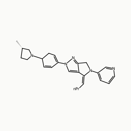 CCCC=C1c2cn(C3=CCC(N4CC[C@H](C)C4)C=C3)nc2CN1c1cccnc1